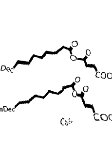 CCCCCCCCCCCCCCCCCC(=O)OC(=O)C=CC(=O)[O-].CCCCCCCCCCCCCCCCCC(=O)OC(=O)C=CC(=O)[O-].[Ca+2]